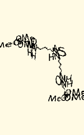 CO[Si](CCCNC(=O)NCCCCCCNC(=O)N(CCCCCCNC(=O)NCCC[Si](OC)(OC)OC)C(C)=O)(OC)OC